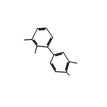 Oc1ccc(-c2cccc(I)c2Br)cc1C(F)(F)F